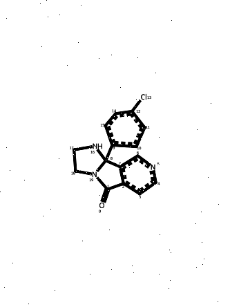 O=C1c2ccncc2C2(c3ccc(Cl)cc3)NCCN12